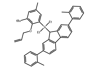 C=CCOc1c(C(C)(C)C)cc(C)cc1[Si](CC)(CC)C1c2cc(-c3ccccc3C)ccc2-c2ccc(-c3ccccc3C)cc21